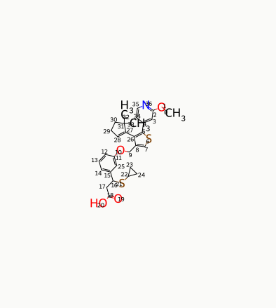 COc1cc(-c2scc(COc3cccc(C(CC(=O)O)SC4CC4)c3)c2C2=CCCC2(C)C)ccn1